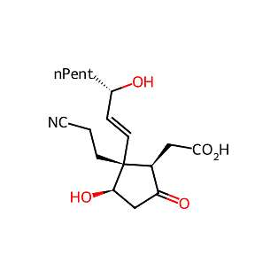 CCCCC[C@H](O)C=C[C@@]1(CCC#N)[C@H](O)CC(=O)[C@@H]1CC(=O)O